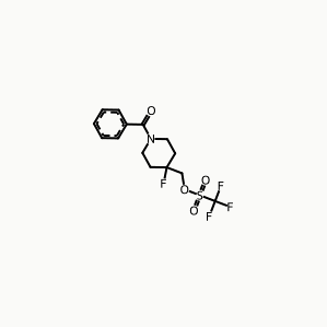 O=C(c1ccccc1)N1CCC(F)(COS(=O)(=O)C(F)(F)F)CC1